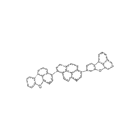 c1ccc2c(c1)Oc1ccc(-c3ccc4ccc5c(-c6ccc7c(c6)Oc6cccc8cccc-7c68)ccc6ccc3c4c65)c3cccc-2c13